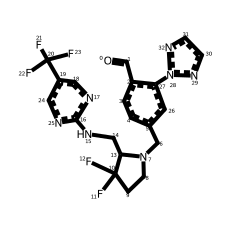 O=Cc1ccc(CN2CCC(F)(F)C2CNc2ncc(C(F)(F)F)cn2)cc1-n1nccn1